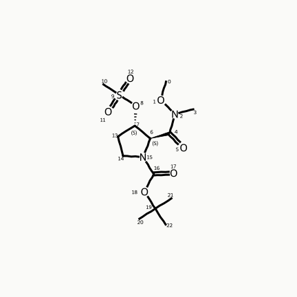 CON(C)C(=O)[C@@H]1[C@@H](OS(C)(=O)=O)CCN1C(=O)OC(C)(C)C